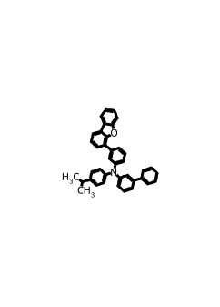 CC(C)c1ccc(N(c2cccc(-c3ccccc3)c2)c2cccc(-c3cccc4c3oc3ccccc34)c2)cc1